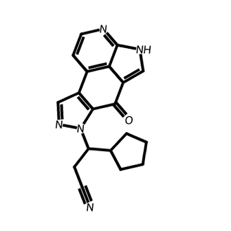 N#CCC(C1CCCC1)n1ncc2c1C(=O)c1c[nH]c3nccc-2c13